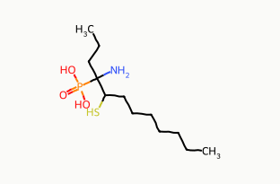 CCCCCCCC(S)C(N)(CCC)P(=O)(O)O